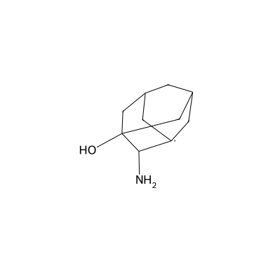 NC1[C]2CC3CC(C2)CC1(O)C3